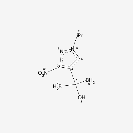 BC(B)(O)c1cn(C(C)C)nc1[N+](=O)[O-]